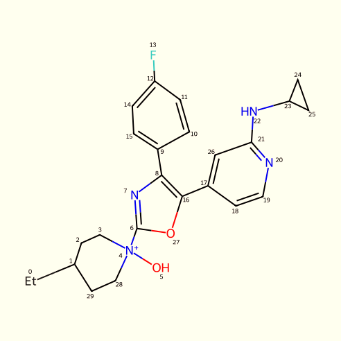 CCC1CC[N+](O)(c2nc(-c3ccc(F)cc3)c(-c3ccnc(NC4CC4)c3)o2)CC1